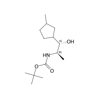 CC1CCC([C@H](O)[C@@H](C)NC(=O)OC(C)(C)C)C1